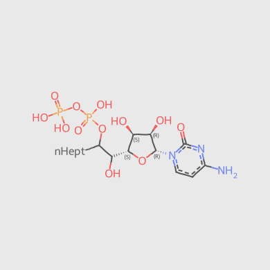 CCCCCCCC(OP(=O)(O)OP(=O)(O)O)C(O)[C@H]1O[C@@H](n2ccc(N)nc2=O)[C@H](O)[C@@H]1O